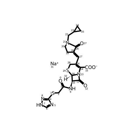 O=C(CSc1nc[nH]n1)N[C@@H]1C(=O)N2C(C(=O)[O-])=C(/C=C3\CCN(CC4CC4)C3=O)CS[C@H]12.[Na+]